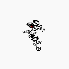 C[C@@H](O)[C@H]1C(=O)N(C(C(=O)O)=P(c2ccccc2)(c2ccccc2)c2ccccc2)[C@@H]1CC(=O)c1ccc(NC(=O)c2cccnc2)cc1